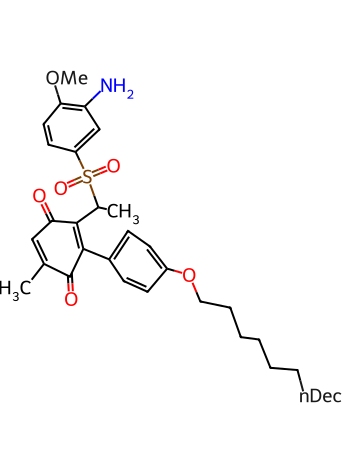 CCCCCCCCCCCCCCCCOc1ccc(C2=C(C(C)S(=O)(=O)c3ccc(OC)c(N)c3)C(=O)C=C(C)C2=O)cc1